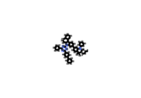 C=C/C=C\[C@H]1C(C)N(c2ccccc2)c2cc(-c3ccc4c(=C5\CCC=CC5=C)/c(=C\C)n(-c5nc(-c6ccccc6)nc(-c6ccc(-c7ccccc7)cc6)n5)c4c3)ccc2C1(C)C